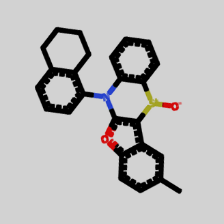 Cc1ccc2oc3c(c2c1)[S+]([O-])c1ccccc1N3c1cccc2c1CCCC2